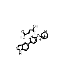 O=C(O)C=CC(=O)O.c1cc2[nH]ncc2cc1-c1ccc(O[C@H]2CN3CCC2CC3)nn1